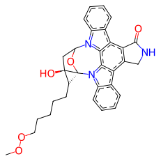 COOCCCCCC1[C@]2(O)CC3O[C@]12n1c2ccccc2c2c4c(c5c6ccccc6n3c5c21)C(=O)NC4